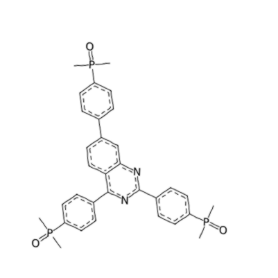 CP(C)(=O)c1ccc(-c2ccc3c(-c4ccc(P(C)(C)=O)cc4)nc(-c4ccc(P(C)(C)=O)cc4)nc3c2)cc1